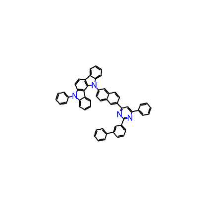 c1ccc(-c2cccc(-c3nc(-c4ccccc4)cc(-c4ccc5cc(-n6c7ccccc7c7ccc8c(c9ccccc9n8-c8ccccc8)c76)ccc5c4)n3)c2)cc1